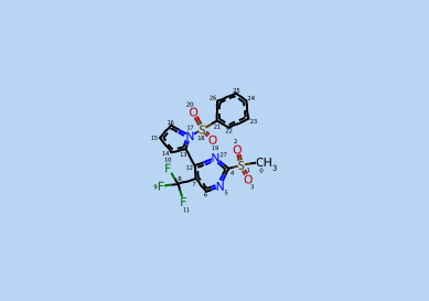 CS(=O)(=O)c1ncc(C(F)(F)F)c(-c2cccn2S(=O)(=O)c2ccccc2)n1